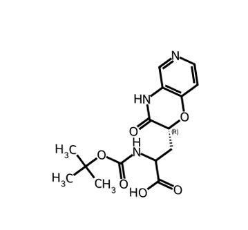 CC(C)(C)OC(=O)NC(C[C@H]1Oc2ccncc2NC1=O)C(=O)O